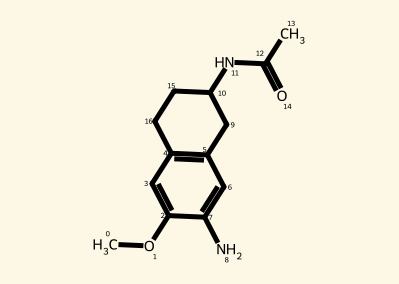 COc1cc2c(cc1N)CC(NC(C)=O)CC2